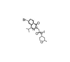 CC(C)c1nn(CC(=O)N(I)[C@@H]2CCO[C@H](C)C2)c(=O)c2ccc(Br)cc12